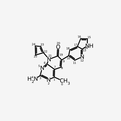 Cc1nc(N)nc2c1cc(-c1cnc3[nH]ccc3c1)c(=O)n2C1=CC=C1